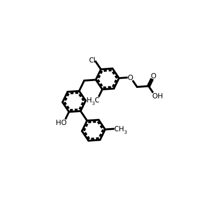 Cc1cccc(-c2cc(Cc3c(C)cc(OCC(=O)O)cc3Cl)ccc2O)c1